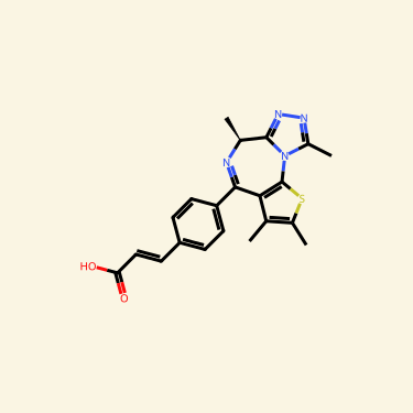 Cc1sc2c(c1C)C(c1ccc(/C=C/C(=O)O)cc1)=N[C@@H](C)c1nnc(C)n1-2